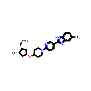 C[C@H]1C[C@@H](OC2CCN(c3ccc(-c4nc5cc(C(F)(F)F)ccc5[nH]4)cn3)CC2)C[C@H]1CC(=O)O